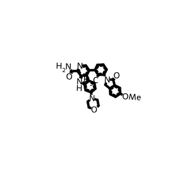 COc1ccc2c(c1)C(=O)N(c1cccc(-c3cnc(C(N)=O)c4[nH]c5cc(N6CCOCC6)ccc5c34)c1C)C2